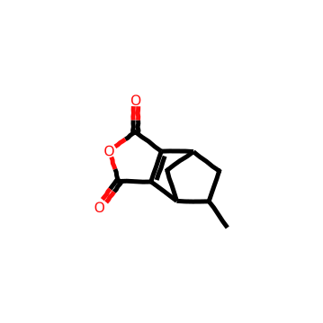 CC1CC2CC1C1=C2C(=O)OC1=O